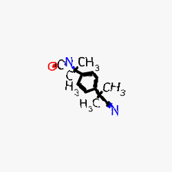 CC(C)(C#N)c1ccc(C(C)(C)N=C=O)cc1